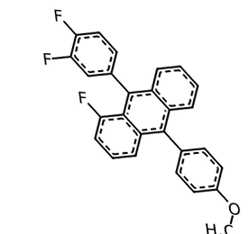 COc1ccc(-c2c3ccccc3c(-c3ccc(F)c(F)c3)c3c(F)cccc23)cc1